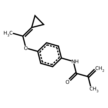 C=C(C)C(=O)Nc1ccc(OC(C)=C2CC2)cc1